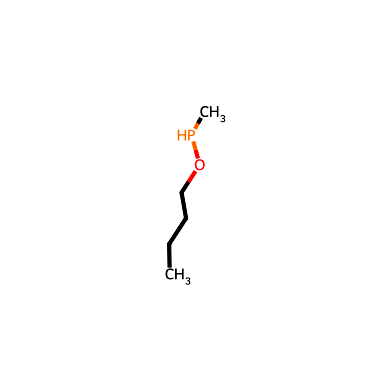 CCCCOPC